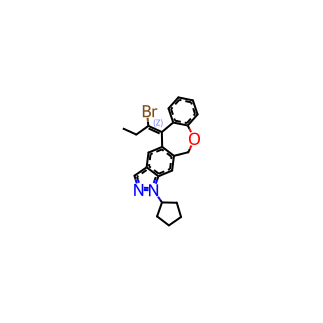 CC/C(Br)=C1\c2cc3cnn(C4CCCC4)c3cc2COc2ccccc21